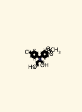 CS(=O)(=O)c1ccc(/C(=C(\CO)CCO)c2ccc(Cl)cc2)cc1